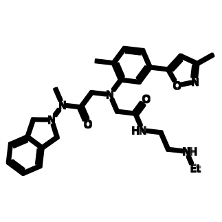 CCNCCNC(=O)CN(CC(=O)N(C)N1Cc2ccccc2C1)c1cc(-c2cc(C)no2)ccc1C